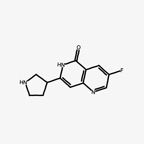 O=c1[nH]c(C2CCNC2)cc2ncc(F)cc12